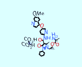 COc1ccc2c(Oc3ccc(NC(=O)c4c(C)n(C[C@@H](C)OC(=O)[C@H](C)N)n(-c5ccccc5)c4=O)nc3)ccnc2c1.O=C(O)/C=C\C(=O)O